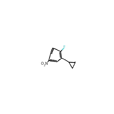 O=[N+]([O-])c1ccc(F)c(C2CC2)c1